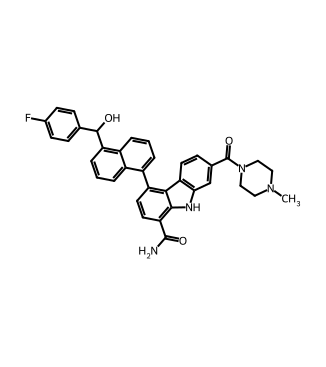 CN1CCN(C(=O)c2ccc3c(c2)[nH]c2c(C(N)=O)ccc(-c4cccc5c(C(O)c6ccc(F)cc6)cccc45)c23)CC1